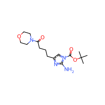 CC(C)(C)OC(=O)n1cc(CCCC(=O)N2CCOCC2)nc1N